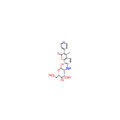 Cc1c(-c2ccncc2)c(=O)oc2cc(NC3C(O)OC(CO)[C@@H](O)[C@@H]3O)ccc12